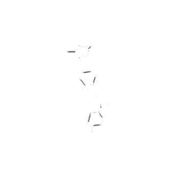 O=C1CC(=O)C(Cc2ccc(OC[C@H](O)c3ccc(F)cc3)cc2)S1